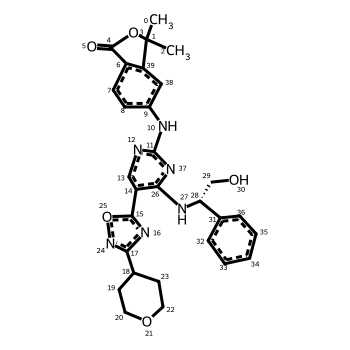 CC1(C)OC(=O)c2ccc(Nc3ncc(-c4nc(C5CCOCC5)no4)c(N[C@H](CO)c4ccccc4)n3)cc21